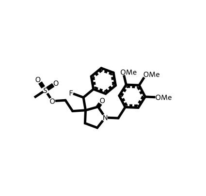 COc1cc(CN2CCC(CCOS(C)(=O)=O)(C(F)c3ccccc3)C2=O)cc(OC)c1OC